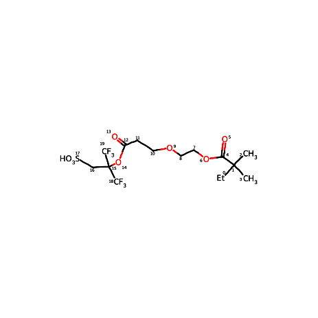 CCC(C)(C)C(=O)OCCOCCC(=O)OC(CS(=O)(=O)O)(C(F)(F)F)C(F)(F)F